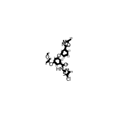 COCC(C)Oc1cc(Oc2cccc(-c3nnc(C)o3)c2)cc(C(=O)Nc2ncc(Cl)s2)c1